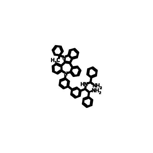 CC1(n2c3c(c4ccccc42)-c2ccccc2N(c2cccc(-c4cccc(C(NC(N)c5ccccc5)[C@@H](N)c5ccccc5)c4)c2)c2ccccc2-3)C=CC=CC1